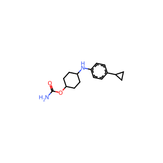 NC(=O)OC1CCC(Nc2ccc(C3CC3)cc2)CC1